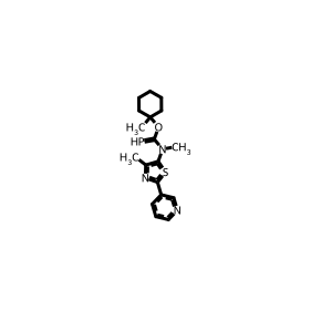 Cc1nc(-c2cccnc2)sc1N(C)C(=P)OC1(C)CCCCC1